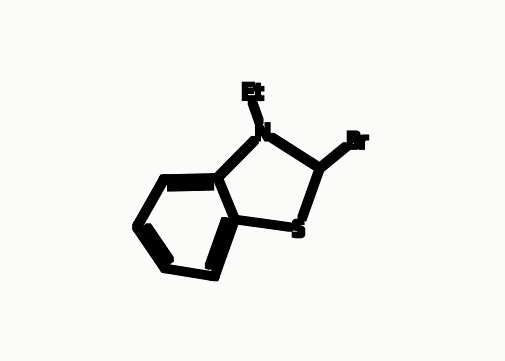 CCN1c2ccccc2SC1Br